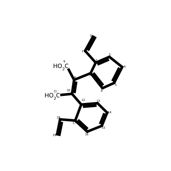 C=Cc1ccccc1/C(C(=O)O)=C(/C(=O)O)c1ccccc1C=C